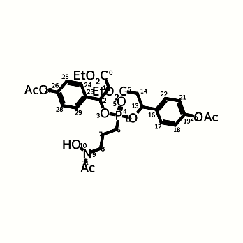 CCOC(=O)CC(OP(=O)(CCCN(O)C(C)=O)OC(CC(=O)OCC)c1ccc(OC(C)=O)cc1)c1ccc(OC(C)=O)cc1